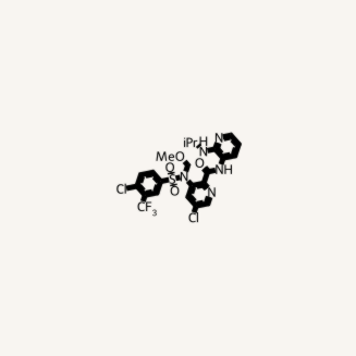 COCN(c1cc(Cl)cnc1C(=O)Nc1cccnc1NC(C)C)S(=O)(=O)c1ccc(Cl)c(C(F)(F)F)c1